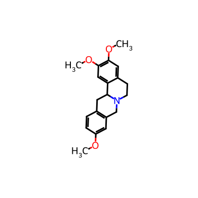 COc1ccc2c(c1)CN1CCc3cc(OC)c(OC)cc3C1C2